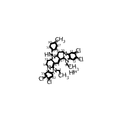 CCN1C2=C3C=C4C5N(CC)c6cc(Cl)c(Cl)cc6N5CCC4N(Nc4ccc(C)cc4)C3CCN2c2cc(Cl)c(Cl)cc21.I